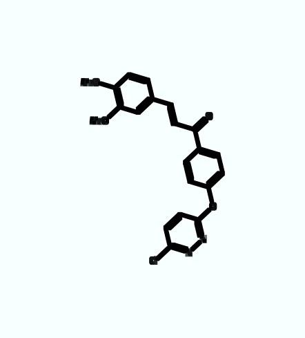 COc1ccc(C=CC(=O)c2ccc(Oc3ccc(Cl)nn3)cc2)cc1OC